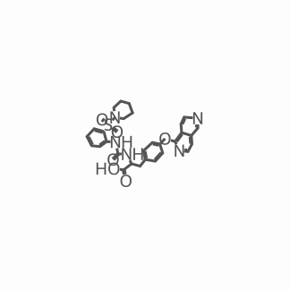 O=C(Nc1ccccc1S(=O)(=O)N1CCCCC1)NC(Cc1ccc(Oc2nccc3cnccc23)cc1)C(=O)O